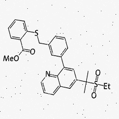 CCS(=O)(=O)C(C)(C)c1cc(-c2cccc(CSc3ccccc3C(=O)OC)c2)c2ncccc2c1